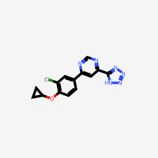 Clc1cc(-c2cc(-c3nnn[nH]3)ncn2)ccc1OC1CC1